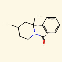 CCC(=O)N1CCC(C(=O)O)CC1(OC)c1ccccc1